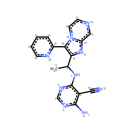 CC(Nc1ncnc(N)c1C#N)c1nc2cnccn2c1-c1ccccn1